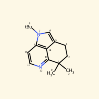 CC1(C)CCc2cn(C(C)(C)C)c3ccnc1c23